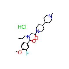 CCCN(CC(=O)N1CCC(C2CCN(C)CC2)CC1)C(=O)c1ccc(OC)c(F)c1.Cl